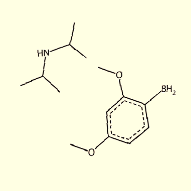 Bc1ccc(OC)cc1OC.CC(C)NC(C)C